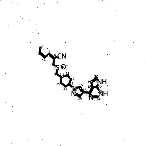 C/C=C\C=C(\C#N)C[S+]([O-])CC1CCC(n2cc(C3=C4C=CNC4NC=N3)cn2)CC1